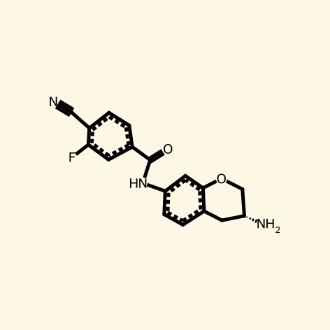 N#Cc1ccc(C(=O)Nc2ccc3c(c2)OC[C@H](N)C3)cc1F